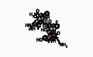 CNC(=N)NCCC[C@H](NC(=O)[C@H](CC(C)C)NC(=O)NNC(=O)[C@H](Cc1ccccc1F)NC(=O)[C@@H](NC(=O)[C@H](CC(N)=O)NC(=O)[C@H](CCCCN)NC(=O)[C@@H](Cc1ccc(O)cc1)NC(C)=O)[C@@H](C)O)C(=O)N[C@@H](Cc1c[nH]c2ccccc12)C(N)=O